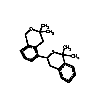 CC1(C)Cc2c(cccc2C2Cc3ccccc3C(C)(C)S2)CO1